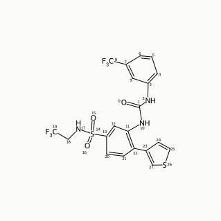 O=C(Nc1cccc(C(F)(F)F)c1)Nc1cc(S(=O)(=O)NCC(F)(F)F)ccc1-c1ccsc1